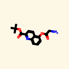 CC(C)(C)OC(=O)c1ccc2c(OC(=O)CN)cccc2n1